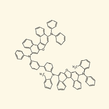 Cc1ccccc1N(c1ccccc1)c1cc2oc3cc(N(c4cccc(-c5cccc(N(c6ccccc6)c6cc7oc8cc(N(c9ccccc9)c9ccccc9)c9ccccc9c8c7c7ccccc67)c5)c4)c4ccccc4C)c4ccccc4c3c2c2ccccc12